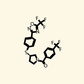 O=C(c1ccc(C(F)(F)F)cc1)N1CC[C@@H](Sc2ccc(-c3noc(C(F)(F)F)n3)cc2)C1